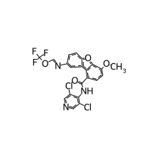 COc1ccc(C(=O)Nc2c(Cl)cncc2Cl)c2c1oc1ccc(/N=C/OC(F)(F)F)cc12